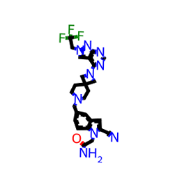 N#Cc1cc2cc(CN3CCC4(CC3)CN(c3ncnc5nn(CC(F)(F)F)cc35)C4)ccc2n1CC(N)=O